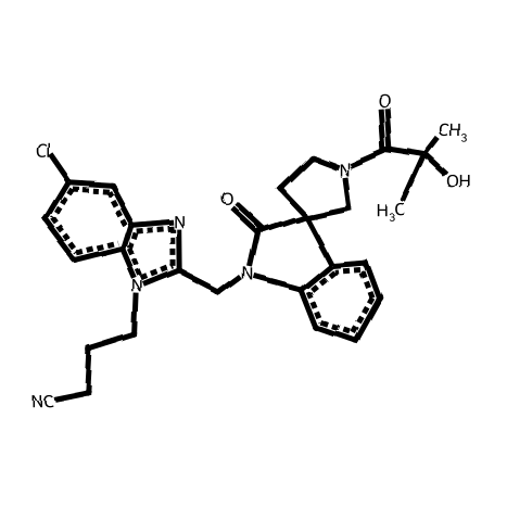 CC(C)(O)C(=O)N1CCC2(C1)C(=O)N(Cc1nc3cc(Cl)ccc3n1CCCC#N)c1ccccc12